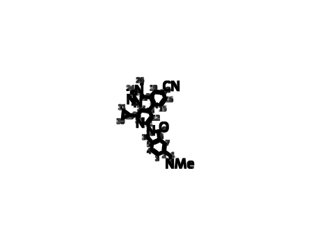 CNCc1ccc2c(c1)C(=O)N(c1cc(-c3ccc(C#N)cc3-c3nncn3C)cc(C3CC3)n1)C2